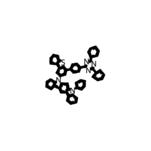 c1ccc(-c2nc(-c3ccccc3)nc(-c3ccc(-c4cc(-n5c6ccccc6c6cc7c8ccccc8n(-c8ccccc8)c7cc65)cc5c4sc4ccccc45)cc3)n2)cc1